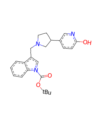 CC(C)(C)OC(=O)n1cc(CN2CCC(c3ccc(O)nc3)C2)c2ccccc21